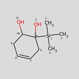 C[Si](C)(C)C1(O)CC=CCC1O